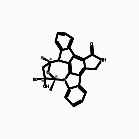 CC[C@@]1(O)C[C@H]2O[C@]1(C)n1c3ccccc3c3c4c(c5c6ccccc6n2c5c31)C(=O)NC4